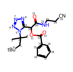 CC(C)(C)CC(C)(C)n1nnnc1C(OC(=O)c1ccccc1)C(=O)NCCC#N